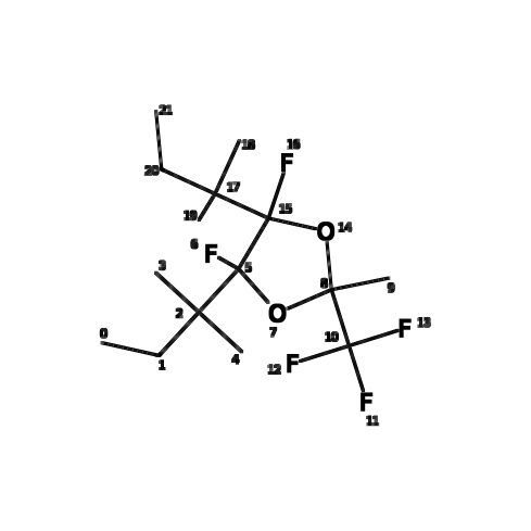 CCC(C)(C)C1(F)OC(C)(C(F)(F)F)OC1(F)C(C)(C)CC